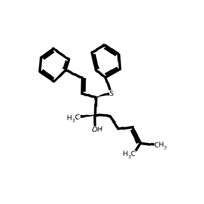 CC(C)=CCC[C@](C)(O)[C@@H](C=Cc1ccccc1)Sc1ccccc1